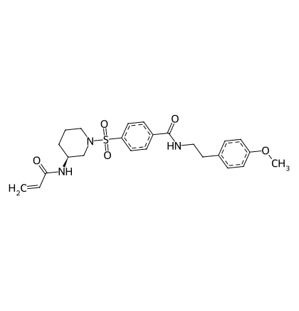 C=CC(=O)N[C@H]1CCCN(S(=O)(=O)c2ccc(C(=O)NCCc3ccc(OC)cc3)cc2)C1